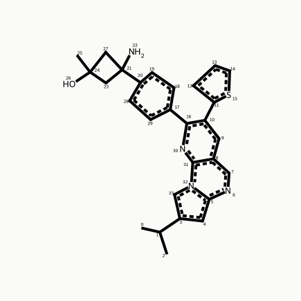 CC(C)c1cc2ncc3cc(-c4cccs4)c(-c4ccc(C5(N)CC(C)(O)C5)cc4)nc3n2c1